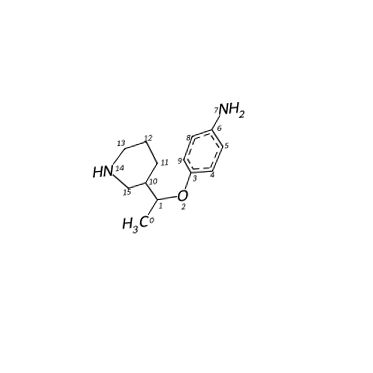 CC(Oc1ccc(N)cc1)C1CCCNC1